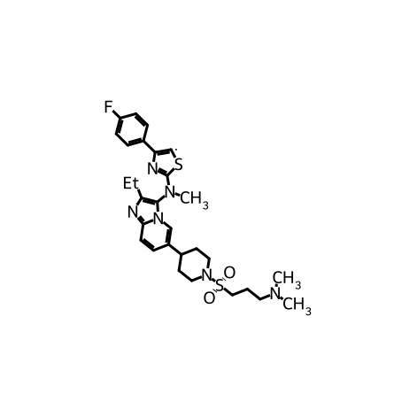 CCc1nc2ccc(C3CCN(S(=O)(=O)CCCN(C)C)CC3)cn2c1N(C)c1nc(-c2ccc(F)cc2)[c]s1